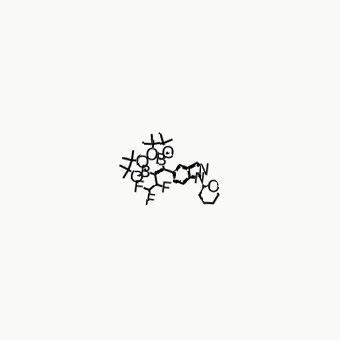 CC1(C)OB(C(=C(B2OC(C)(C)C(C)(C)O2)C(F)C(F)F)c2ccc3c(cnn3C3CCCCO3)c2)OC1(C)C